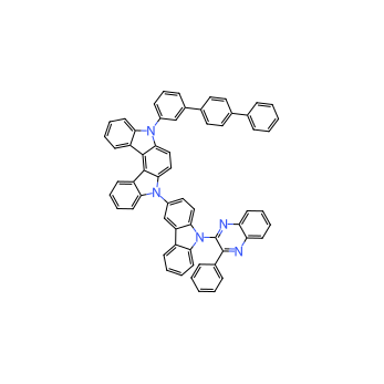 c1ccc(-c2ccc(-c3cccc(-n4c5ccccc5c5c6c7ccccc7n(-c7ccc8c(c7)c7ccccc7n8-c7nc8ccccc8nc7-c7ccccc7)c6ccc54)c3)cc2)cc1